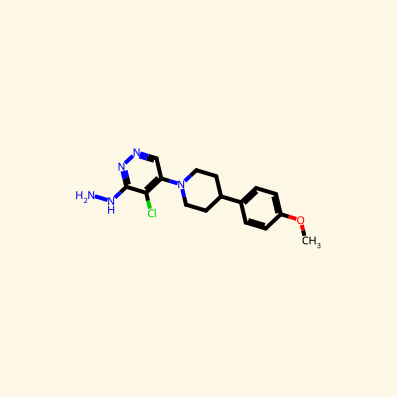 COc1ccc(C2CCN(c3cnnc(NN)c3Cl)CC2)cc1